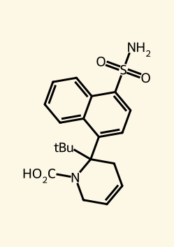 CC(C)(C)C1(c2ccc(S(N)(=O)=O)c3ccccc23)CC=CCN1C(=O)O